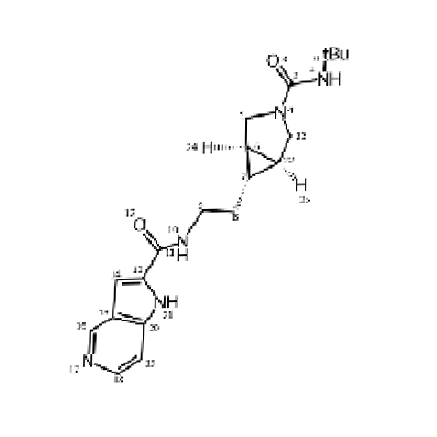 CC(C)(C)NC(=O)N1C[C@@H]2[C@@H](CCNC(=O)c3cc4cnccc4[nH]3)[C@@H]2C1